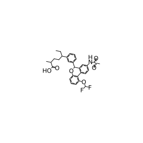 CCC(CCC(C)C(=O)O)c1cccc(C2Oc3cccc(OC(F)F)c3-c3ccc(NS(C)(=O)=O)cc32)c1